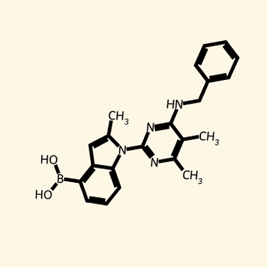 Cc1nc(-n2c(C)cc3c(B(O)O)cccc32)nc(NCc2ccccc2)c1C